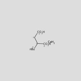 CCCCC(CC(=O)O)C(=O)O.[CaH2]